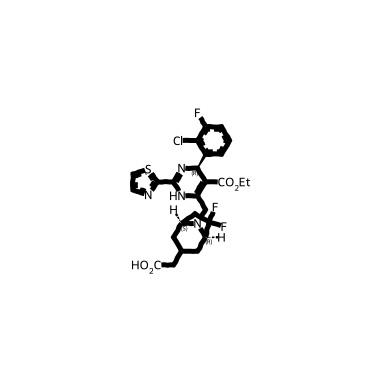 CCOC(=O)C1=C(CN2[C@H]3CC(CC(=O)O)C[C@@H]2C(F)(F)C3)NC(c2nccs2)=N[C@H]1c1cccc(F)c1Cl